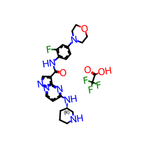 O=C(Nc1ccc(N2CCOCC2)cc1F)c1cnn2ccc(N[C@@H]3CCCNC3)nc12.O=C(O)C(F)(F)F